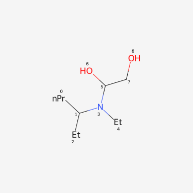 CCCC(CC)N(CC)C(O)CO